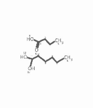 CCCC(=O)O.CCCCCC(O)O